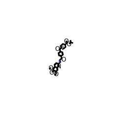 COc1cc2nc(/C=C/C(=O)c3ccc(C(=O)N4CCC(C(=O)OC(C)C)CC4)cc3)ccc2c(OC)c1OC